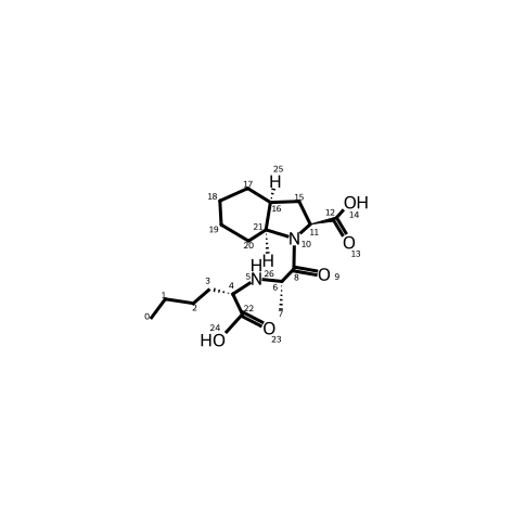 CCCC[C@H](N[C@@H](C)C(=O)N1[C@H](C(=O)O)C[C@@H]2CCCC[C@@H]21)C(=O)O